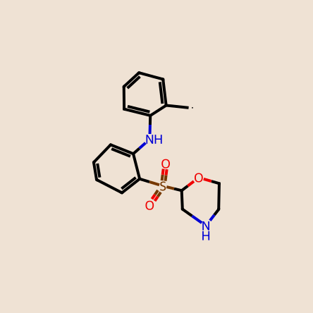 [CH2]c1ccccc1Nc1ccccc1S(=O)(=O)C1CNCCO1